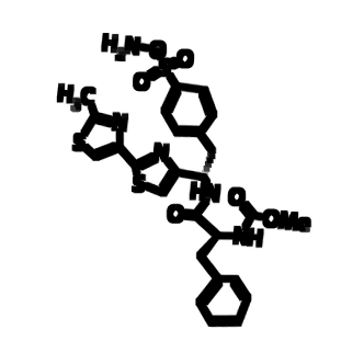 COC(=O)N[C@@H](Cc1ccccc1)C(=O)N[C@@H](Cc1ccc(S(=O)(=O)ON)cc1)c1csc(-c2csc(C)n2)n1